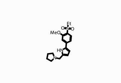 CCS(=O)(=O)c1ccc(-c2ccc(CN3CCCC3)[nH]2)cc1OC